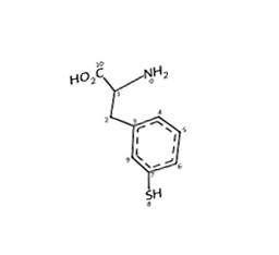 NC(Cc1cccc(S)c1)C(=O)O